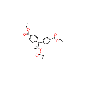 CCOC(=O)c1ccc(C(c2ccc(C(=O)OCC)cc2)[C@H](C)OC(=O)CC)cc1